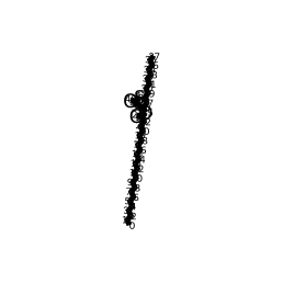 CCCCCCCCCCCCCCCCCCCCCCCC(=O)OC(CCCCCCCCCCC)CC(=O)[S]